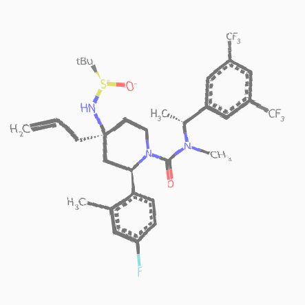 C=CC[C@]1(N[S@+]([O-])C(C)(C)C)CCN(C(=O)N(C)[C@H](C)c2cc(C(F)(F)F)cc(C(F)(F)F)c2)[C@@H](c2ccc(F)cc2C)C1